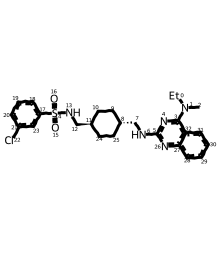 CCN(C)c1nc(NC[C@H]2CC[C@H](CNS(=O)(=O)c3cccc(Cl)c3)CC2)nc2ccccc12